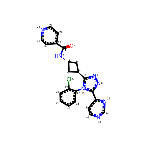 O=C(N[C@H]1C[C@H](c2nnc(-c3ccncn3)n2-c2ccccc2Cl)C1)c1ccncc1